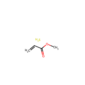 C=CC(=O)OC.S